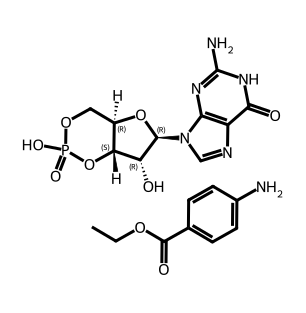 CCOC(=O)c1ccc(N)cc1.Nc1nc2c(ncn2[C@@H]2O[C@@H]3COP(=O)(O)O[C@H]3[C@H]2O)c(=O)[nH]1